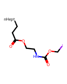 CCCCCCCCCC(=O)OCCNC(=O)OCI